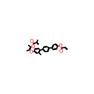 C=CC(=O)Oc1ccc(-c2ccc(-c3ccc(OC(C)=C(C)OC(=O)C(=C)C)cc3C)cc2)cc1